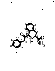 NC(=O)C1Cc2c[c]ccc2C(C(=O)Cc2ccccc2)N1